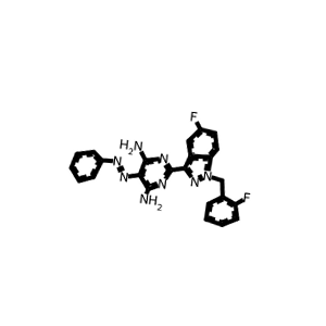 Nc1nc(-c2nn(Cc3ccccc3F)c3ccc(F)cc23)nc(N)c1N=Nc1ccccc1